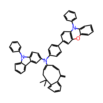 C=C1/C=C\C(N(c2ccc(-c3ccc4c(c3)Oc3ccccc3N4c3ccccc3)cc2)c2ccc3c(c2)c2ccccc2n3-c2ccccc2)=C/CC(C)(C)c2ccccc21